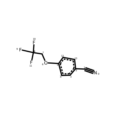 N#Cc1c[c]c(OCC(F)(F)F)cc1